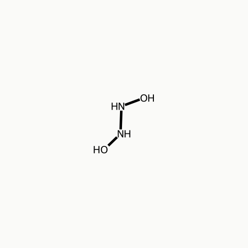 ONNO